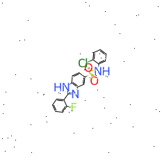 O=S(=O)(Nc1ccccc1Cl)c1ccc2[nH]c(-c3ccccc3F)nc2c1